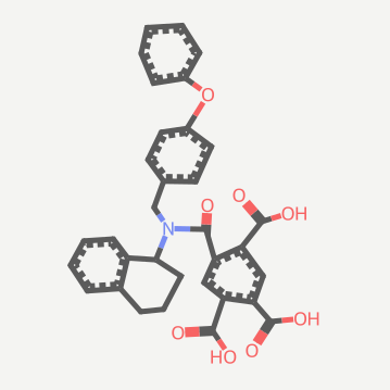 O=C(O)c1cc(C(=O)O)c(C(=O)N(Cc2ccc(Oc3ccccc3)cc2)C2CCCc3ccccc32)cc1C(=O)O